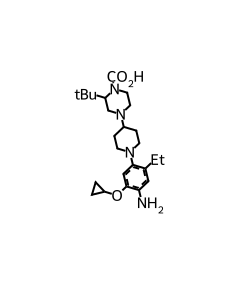 CCc1cc(N)c(OC2CC2)cc1N1CCC(N2CCN(C(=O)O)C(C(C)(C)C)C2)CC1